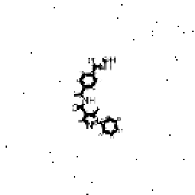 Cc1c(C(=O)NC(C)c2ccc(C(=O)NO)cc2)cnn1-c1ccccc1